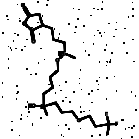 C[SiH](CCCC1CC(=O)OC1=O)OCCCC[Si](C)(O)CCCOCCC(F)(F)F